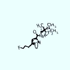 CN(C)C(C)(C)CNC(=O)c1cc(CCCF)on1